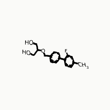 Cc1ccc(-c2ccc(COC(CO)CO)cc2)c(F)c1